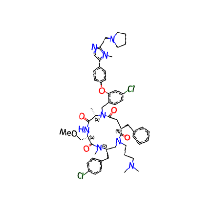 COC[C@@H]1NC(=O)[C@H](C)N(Cc2ccc(Cl)cc2Oc2ccc(-c3cnc(CN4CCCC4)n3C)cc2)C(=O)C[C@@H](Cc2ccccc2)C(=O)N(CCCN(C)C)C[C@@H](Cc2ccc(Cl)cc2)N(C)C1=O